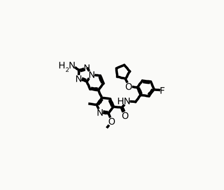 COc1nc(C)c(-c2ccn3nc(N)nc3c2)cc1C(=O)NCc1cc(F)ccc1OC1CCCC1